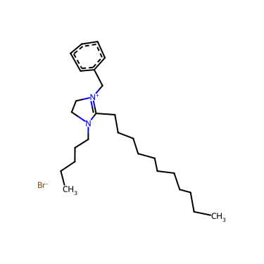 CCCCCCCCCCCC1=[N+](Cc2ccccc2)CCN1CCCCC.[Br-]